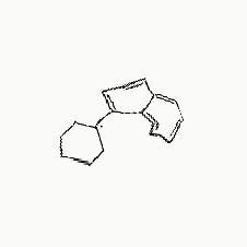 c1ccc2c([C]3CCCCC3)cccc2c1